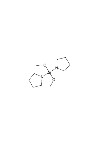 CO[Si](OC)(N1CCCC1)N1CCCC1